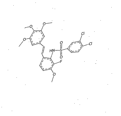 COc1ccc(C=Cc2cc(OC)c(OC)c(OC)c2)c(NS(=O)(=O)c2ccc(Cl)c(Cl)c2)c1F